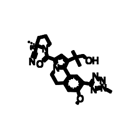 COc1cc2c(cc1-c1nnn(C)n1)-c1c(C(C)(C)CO)cc(C(=O)N3CCC[C@]3(C)C#N)n1CC2